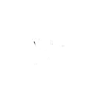 CC(C)C[C@@H](C(=O)O)C(=O)NO